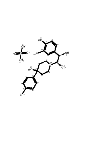 CS(=O)(=O)O.C[C@H]([C@H](O)c1ccc(O)c(F)c1)N1CCC(O)(c2ccc(Cl)cc2)CC1